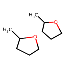 CC1CCCO1.CC1CCCO1